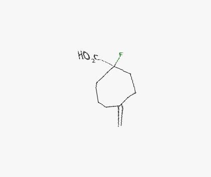 C=C1CCC(F)(C(=O)O)CC1